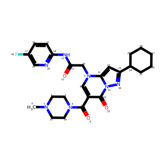 CN1CCN(C(=O)c2cn(CC(=O)Nc3ccc(F)cn3)c3cc(C4CCCCC4)nn3c2=O)CC1